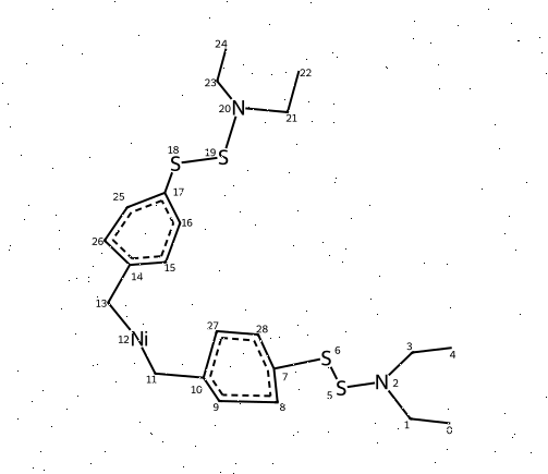 CCN(CC)SSc1ccc([CH2][Ni][CH2]c2ccc(SSN(CC)CC)cc2)cc1